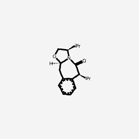 CC(C)[C@@H]1C(=O)N2[C@@H](Cc3ccccc31)OC[C@H]2C(C)C